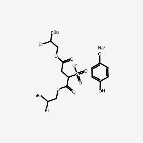 CCCCC(CC)COC(=O)CC(C(=O)OCC(CC)CCCC)S(=O)(=O)[O-].Oc1ccc(O)cc1.[Na+]